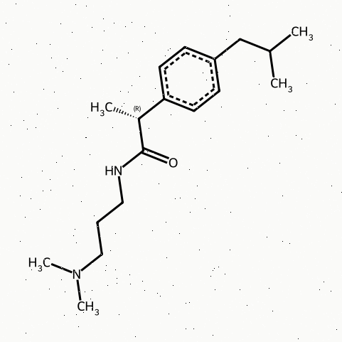 CC(C)Cc1ccc([C@@H](C)C(=O)NCCCN(C)C)cc1